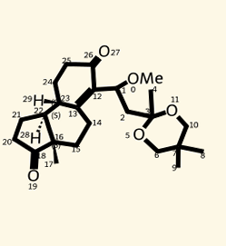 COC(CC1(C)OCC(C)(C)CO1)C1=C2CC[C@]3(C)C(=O)CC[C@H]3[C@@H]2CCC1=O